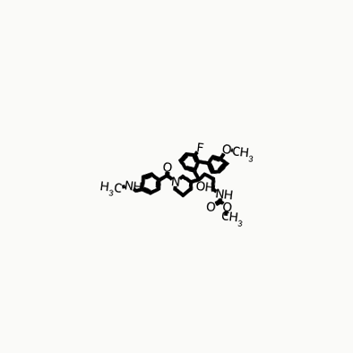 CNCc1ccc(C(=O)N2CCCC(C(O)(CCCNC(=O)OC)c3cccc(F)c3-c3cccc(OC)c3)C2)cc1